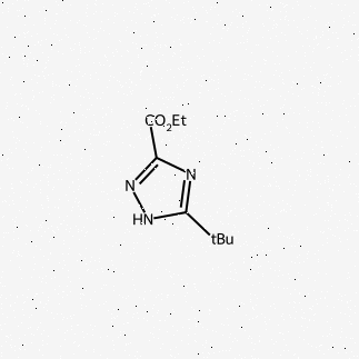 CCOC(=O)c1n[nH]c(C(C)(C)C)n1